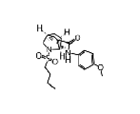 CCCCS(=O)(=O)N1C[C@H]2CC[C@@H]1[C@H](C(=O)Nc1ccc(OC)cc1)C2